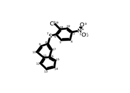 O=[N+]([O-])c1ccc(Sc2ccc3ccccc3c2)c(Cl)c1